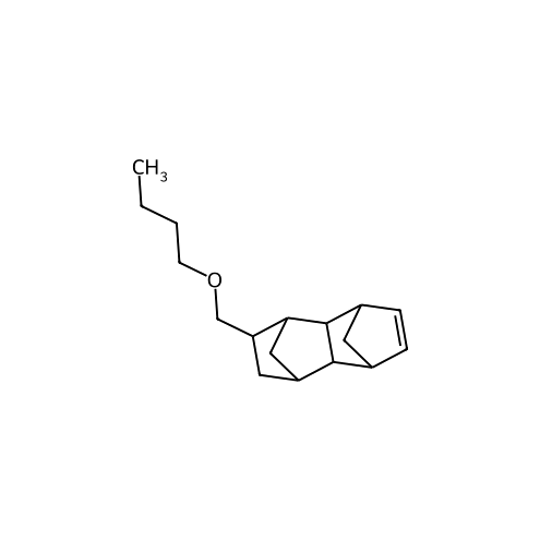 CCCCOCC1CC2CC1C1C3C=CC(C3)C21